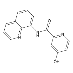 O=C(Nc1cccc2cccnc12)c1cc(O)ccn1